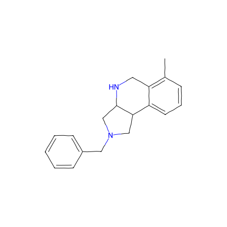 Cc1cccc2c1CNC1CN(Cc3ccccc3)CC21